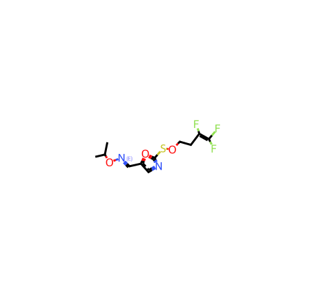 CC(C)O/N=C/c1cnc(SOCCC(F)=C(F)F)o1